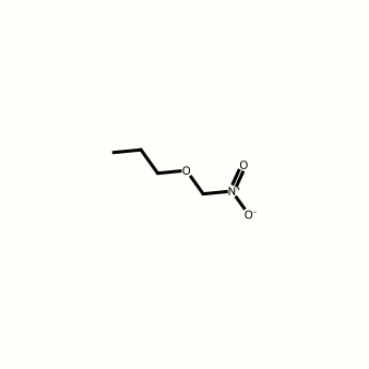 CCCOC[N+](=O)[O-]